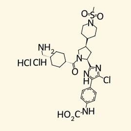 CS(=O)(=O)N1CCC([C@H]2C[C@@H](c3nc(Cl)c(-c4ccc(NC(=O)O)cc4)[nH]3)N(C(=O)[C@H]3CC[C@@H](CN)CC3)C2)CC1.Cl.Cl